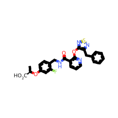 C[C@@H](Oc1ccc(CNC(=O)c2cccnc2Oc2nsnc2Cc2ccccc2)c(F)c1)C(=O)O